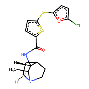 C[C@H]1[C@H](NC(=O)c2ccc(Sc3ccc(Cl)o3)s2)C2CCN1CC2